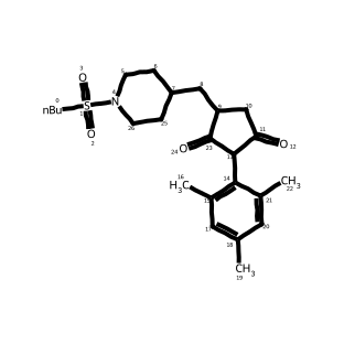 CCCCS(=O)(=O)N1CCC(CC2CC(=O)C(c3c(C)cc(C)cc3C)C2=O)CC1